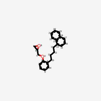 c1ccc(OCC2CO2)c(CCCCc2cccc3ccccc23)c1